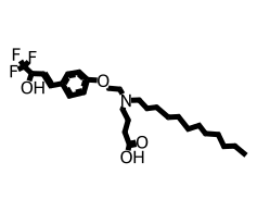 CCCCCCCCCCCCN(CCCC(=O)O)CCOc1ccc(/C=C/C(O)C(F)(F)F)cc1